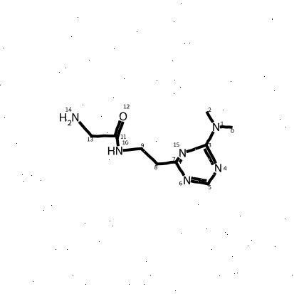 CN(C)c1ncnc(CCNC(=O)CN)n1